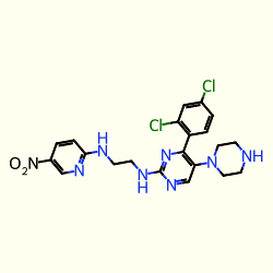 O=[N+]([O-])c1ccc(NCCNc2ncc(N3CCNCC3)c(-c3ccc(Cl)cc3Cl)n2)nc1